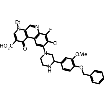 CCn1cc(C(=O)O)c(=O)c2c3cc(N4CCNC(c5ccc(OCc6ccccc6)c(OC)c5)C4)c(Cl)c(F)c3ncc21